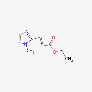 CCOC(=O)/C=C/c1nccn1C